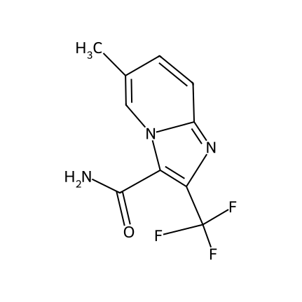 Cc1ccc2nc(C(F)(F)F)c(C(N)=O)n2c1